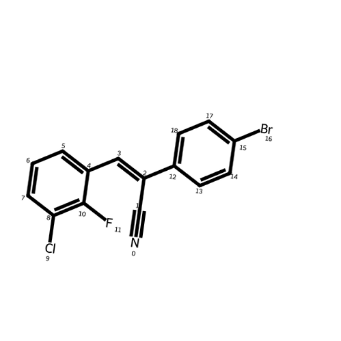 N#CC(=Cc1cccc(Cl)c1F)c1ccc(Br)cc1